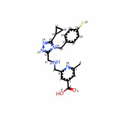 Cc1cc(C(=O)O)cc(CNCc2nnc(C3CC3)n2Cc2ccc(F)cc2)n1